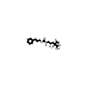 NC(CCCNC(=O)OC/C=C/c1ccccc1)(C(=O)O)C(F)F